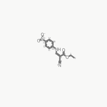 CCOC(=O)C(C#N)=CNc1ccc([N+](=O)[O-])cc1